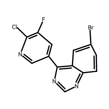 Fc1cc(-c2ncnc3ccc(Br)cc23)cnc1Cl